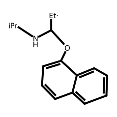 C[CH]C(NC(C)C)Oc1cccc2ccccc12